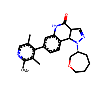 COc1ncc(C)c(-c2ccc3c(c2)NC(=O)C2C=NN([C@H]4CCCCOC4)C32)c1C